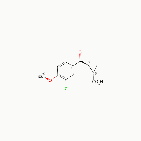 CC[C@H](C)Oc1ccc(C(=O)[C@H]2C[C@@H]2C(=O)O)cc1Cl